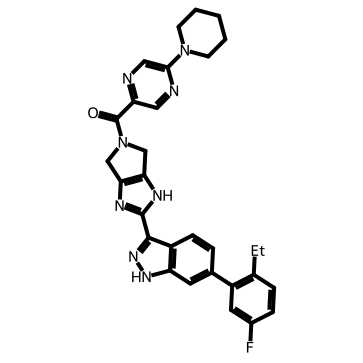 CCc1ccc(F)cc1-c1ccc2c(-c3nc4c([nH]3)CN(C(=O)c3cnc(N5CCCCC5)cn3)C4)n[nH]c2c1